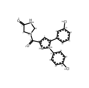 O=C1CN(C(=O)c2cc(-c3cccc(Cl)c3)n(-c3ccc(Cl)cc3)n2)CN1